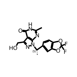 Cc1nc2c(c(CO)nn2[C@@H](C)c2ccc3c(c2)OC(F)(F)O3)c(=O)[nH]1